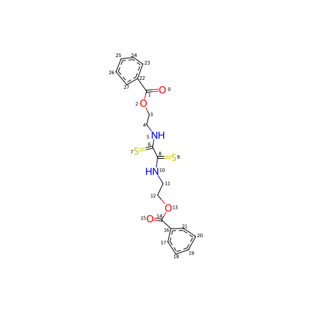 O=C(OCCNC(=S)C(=S)NCCOC(=O)c1ccccc1)c1ccccc1